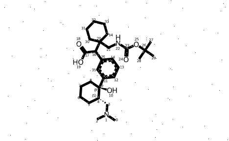 CN(C)C[C@@H]1CCCC[C@]1(O)c1cccc(C(C(=O)O)C2(CNC(=O)OC(C)(C)C)CCCCC2)c1